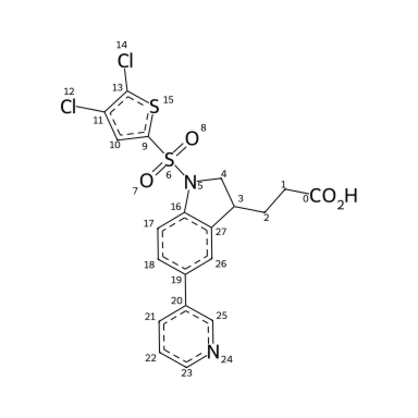 O=C(O)CCC1CN(S(=O)(=O)c2cc(Cl)c(Cl)s2)c2ccc(-c3cccnc3)cc21